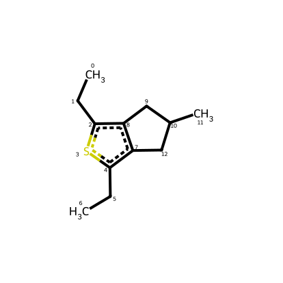 CCc1sc(CC)c2c1CC(C)C2